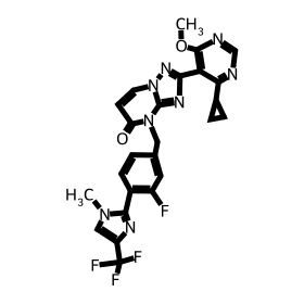 COc1ncnc(C2CC2)c1-c1nc2n(Cc3ccc(-c4nc(C(F)(F)F)cn4C)c(F)c3)c(=O)ccn2n1